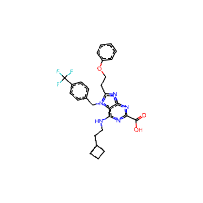 O=C(O)c1nc(NCCC2CCC2)c2c(n1)nc(CCOc1ccccc1)n2Cc1ccc(C(F)(F)F)cc1